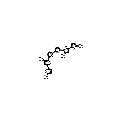 CCc1ccc(-c2cc(CC)c(-c3ccc(-c4ccc(-c5sc(-c6ccc(CC)s6)cc5CC)s4)s3)s2)s1